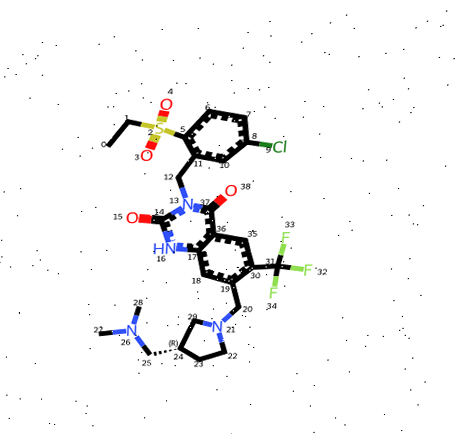 CCS(=O)(=O)c1ccc(Cl)cc1Cn1c(=O)[nH]c2cc(CN3CC[C@H](CN(C)C)C3)c(C(F)(F)F)cc2c1=O